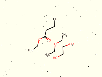 CCCC(=O)OCC.CCOCC.OCCO